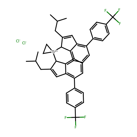 CC(C)CC1=Cc2c(-c3ccc(C(F)(F)F)cc3)cccc2[CH]1[Ti+2]1([CH]2C(CC(C)C)=Cc3c(-c4ccc(C(F)(F)F)cc4)cccc32)[CH2][CH2]1.[Cl-].[Cl-]